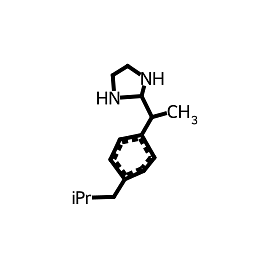 CC(C)Cc1ccc(C(C)C2NCCN2)cc1